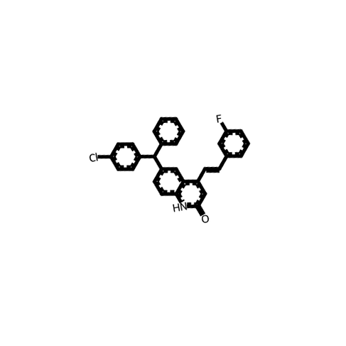 O=c1cc(C=Cc2cccc(F)c2)c2cc(C(c3ccccc3)c3ccc(Cl)cc3)ccc2[nH]1